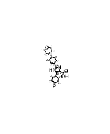 O=C(O)c1nc(-c2ccc(N3CCOCC3)cc2)[nH]c1-c1ccc(F)cc1